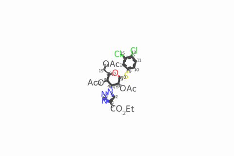 CCOC(=O)c1cn([C@@H]2[C@@H](OC(C)=O)[C@@H](Sc3ccc(Cl)c(Cl)c3)O[C@H](COC(C)=O)[C@@H]2OC(C)=O)nn1